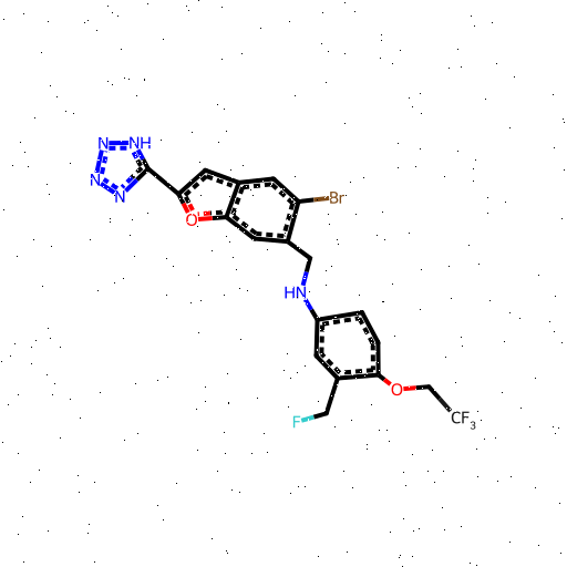 FCc1cc(NCc2cc3oc(-c4nnn[nH]4)cc3cc2Br)ccc1OCC(F)(F)F